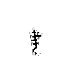 [CH2]CCC(F)(F)C(F)(F)C(F)(C(F)(F)F)C(F)(F)F